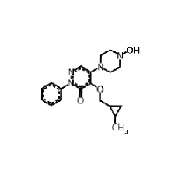 CC1CC1COc1c(N2CCN(O)CC2)cnn(-c2ccccc2)c1=O